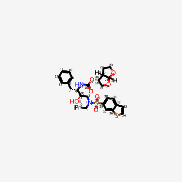 CC(C)CN(C[C@@H](O)[C@H](Cc1ccccc1)NC(=O)O[C@H]1CO[C@H]2OCC[C@H]21)S(=O)(=O)c1ccc2ccsc2c1